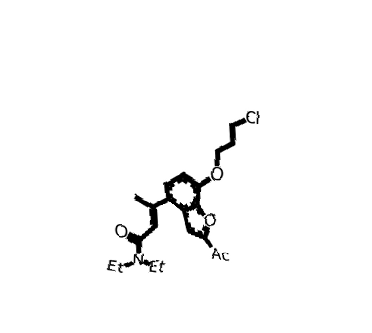 CCN(CC)C(=O)C=C(C)c1ccc(OCCCCl)c2oc(C(C)=O)cc12